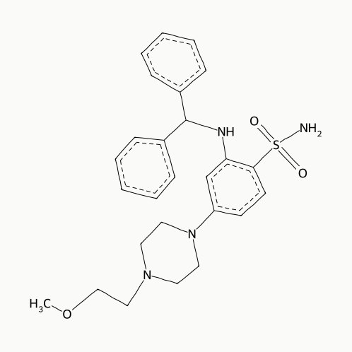 COCCN1CCN(c2ccc(S(N)(=O)=O)c(NC(c3ccccc3)c3ccccc3)c2)CC1